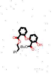 CC(C)CCOC(=O)c1ccccc1O.CC(C)COC(=O)c1ccccc1O